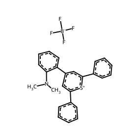 CN(C)c1ccccc1-c1cc(-c2ccccc2)[s+]c(-c2ccccc2)c1.F[B-](F)(F)F